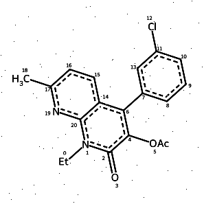 CCn1c(=O)c(OC(C)=O)c(-c2cccc(Cl)c2)c2ccc(C)nc21